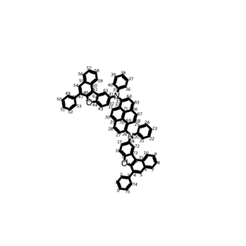 c1ccc(-c2cc3ccccc3c3c2oc2ccc(N(c4ccccc4)c4ccc5ccc6c(N(c7ccccc7)c7ccc8oc9c(-c%10ccccc%10)cc%10ccccc%10c9c8c7)ccc7ccc4c5c76)cc23)cc1